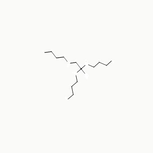 CCCCOCC([O])(OCCCC)OCCCC